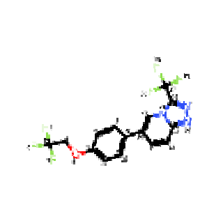 FC(F)(F)COc1ccc(-c2ccc3nnc(C(F)(F)F)n3c2)cc1